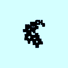 Cc1ccn2c(-c3cccc(-c4ccccc4F)c3)cnc2n1